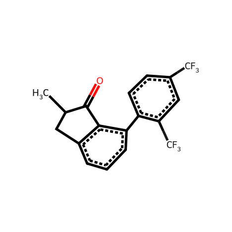 CC1Cc2cccc(-c3ccc(C(F)(F)F)cc3C(F)(F)F)c2C1=O